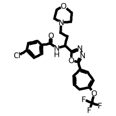 O=C(NC(CCN1CCOCC1)c1nnc(C2=CC=C(OC(F)(F)F)CC=C2)o1)c1ccc(Cl)cc1